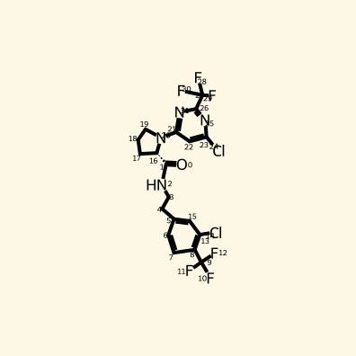 O=C(NCCc1ccc(C(F)(F)F)c(Cl)c1)[C@@H]1CCCN1c1cc(Cl)nc(C(F)(F)F)n1